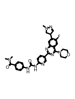 CN1CC(c2cc3nc(-c4ccc(NC(=O)Nc5ccc(C(=O)N(C)C)cc5)nc4)nc(N4CCOCC4)c3cc2F)C=N1